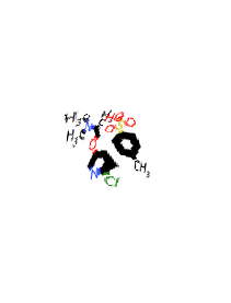 C[C@@H](COc1ccc(Cl)nc1)N(C)C.Cc1ccc(S(=O)(=O)O)cc1